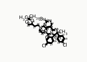 CCOc1nc(C(C)(C)C)ncc1C1=N[C@@](C)(c2ccc(Cl)cc2)[C@@](C)(c2ccc(Cl)cc2)N1C(=O)N1CCN(CCC2COC(C)(C)O2)CC1